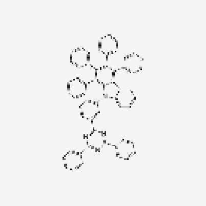 c1ccc(-c2nc(-c3ccccc3)nc(-c3cccc(-n4c5ccccc5c5c(-c6ccccc6)c(-c6ccccc6)c(-c6ccccc6)c(-c6ccccc6)c54)c3)n2)cc1